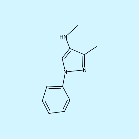 CNc1cn(-c2ccccc2)nc1C